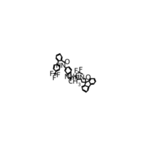 Cc1nc2cc(NC(=O)c3ccccc3-c3ccc(C(F)(F)F)cc3)ccc2n1CCCCC1(C(=O)NCC(F)(F)F)c2ccccc2-c2ccccc21